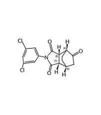 O=C1C[C@H]2CC[C@@H]1[C@H]1C(=O)N(c3cc(Cl)cc(Cl)c3)C(=O)[C@@H]21